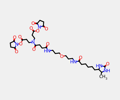 CC1NC(=O)NC1CCCCCC(=O)NCCCOCCCNC(=O)CCC(=O)N(CCC(=O)ON1C(=O)CCC1=O)CCC(=O)ON1C(=O)CCC1=O